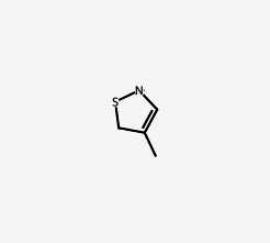 CC1=C[N]SC1